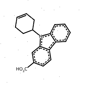 O=C(O)c1ccc2c3ccccc3n(C3CC=CCC3)c2c1